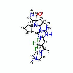 C=N/C(=C\C(=C(/C)N1CCN(C)CC1)C(F)(F)F)Nc1ncc2c(n1)N(C1CCCC1)C1(CCN(C)C1=O)C2